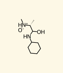 C[C@H](C(O)NC1CCCCC1)[NH+](C)[O-]